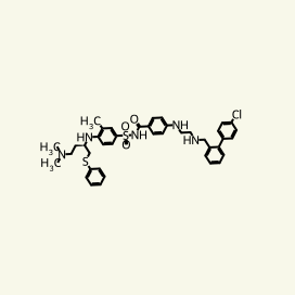 Cc1cc(S(=O)(=O)NC(=O)c2ccc(NCCNCc3ccccc3-c3ccc(Cl)cc3)cc2)ccc1N[C@H](CCN(C)C)CSc1ccccc1